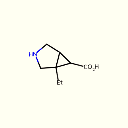 CCC12CNCC1C2C(=O)O